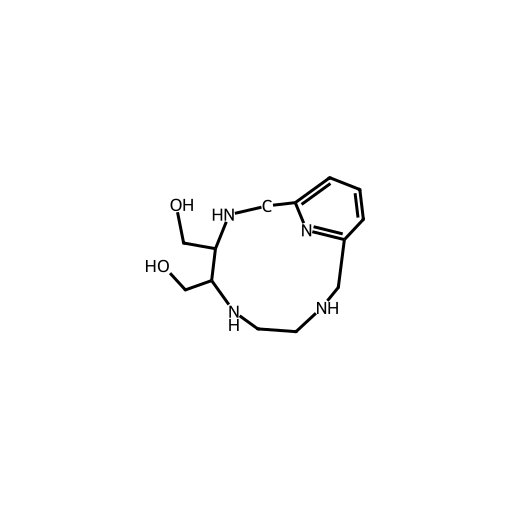 OCC1NCCNCc2cccc(n2)CNC1CO